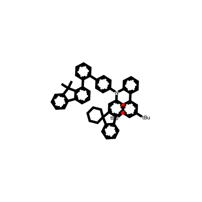 CC(C)(C)c1cc(-c2ccccc2N(c2ccc(-c3ccccc3-c3cccc4c3C(C)(C)c3ccccc3-4)cc2)c2ccc3c(c2)C2(CCCCC2)c2ccccc2-3)cc(C(C)(C)C)c1